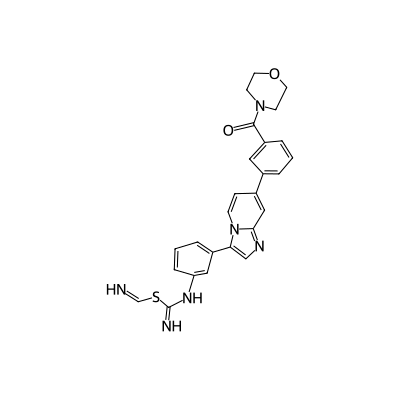 N=CSC(=N)Nc1cccc(-c2cnc3cc(-c4cccc(C(=O)N5CCOCC5)c4)ccn23)c1